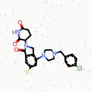 O=C1CCC(N2Cc3c(cc(F)cc3N3CCN(Cc4ccc(Cl)cc4)CC3)C2=O)C(=O)N1